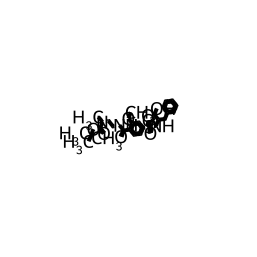 COc1cc(S(=O)(=O)NC(Cc2ccccc2)C(=O)O)ccc1C(=O)NCCN(C)C(=O)OC(C)(C)C